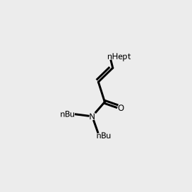 CCCCCCC/C=C/C(=O)N(CCCC)CCCC